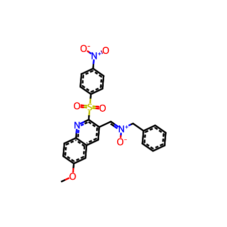 COc1ccc2nc(S(=O)(=O)c3ccc([N+](=O)[O-])cc3)c(/C=[N+](\[O-])Cc3ccccc3)cc2c1